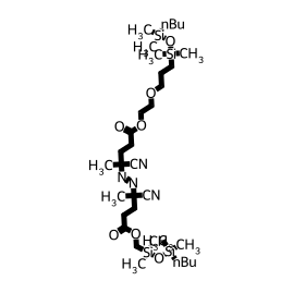 CCCC[Si](C)(C)O[Si](C)(C)CCCOCCOC(=O)CCC(C)(C#N)N=NC(C)(C#N)CCC(=O)OC[Si](C)(C)O[Si](C)(C)CCCC